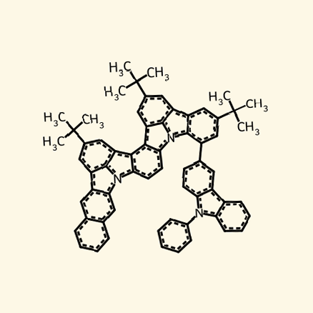 CC(C)(C)c1cc(-c2ccc3c(c2)c2ccccc2n3-c2ccccc2)c2c(c1)c1cc(C(C)(C)C)cc3c4c5c6cc(C(C)(C)C)cc7c8cc9ccccc9cc8n(c5ccc4n2c13)c76